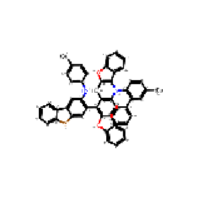 CC(C)(C)c1ccc(Nc2cc3c(cc2-c2c4c(cc5c2oc2ccccc25)N(c2ccc(C(C)(C)C)cc2-c2ccccc2)c2c(oc5ccccc25)B4)sc2ccccc23)cc1